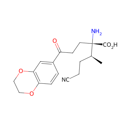 C[C@@H](CCC#N)[C@@](N)(CCC(=O)c1ccc2c(c1)OCCO2)C(=O)O